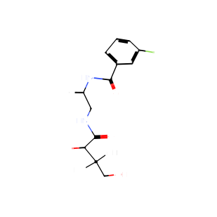 CC(CNC(=O)C(O)C(C)(C)CO)NC(=O)c1cccc(F)c1